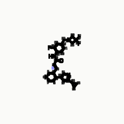 O=C(/C=C/c1cnccc1-c1cnn(C2CC2)c1)Nc1ccc(CN2CC(F)(F)C2)cc1F